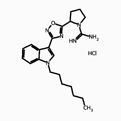 CCCCCCCn1cc(-c2noc(C3CCCN3C(=N)N)n2)c2ccccc21.Cl